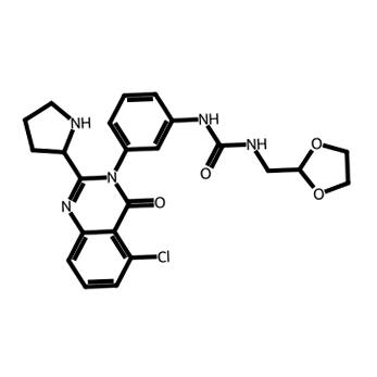 O=C(NCC1OCCO1)Nc1cccc(-n2c(C3CCCN3)nc3cccc(Cl)c3c2=O)c1